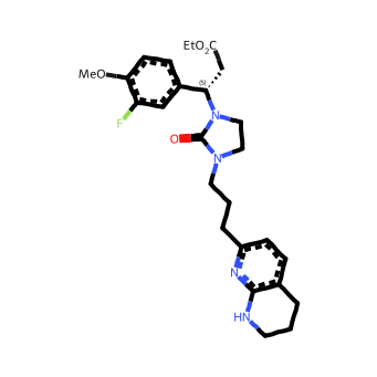 CCOC(=O)C[C@@H](c1ccc(OC)c(F)c1)N1CCN(CCCc2ccc3c(n2)NCCC3)C1=O